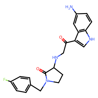 Nc1ccc2[nH]cc(C(=O)CNC3CCN(Cc4ccc(F)cc4)C3=O)c2c1